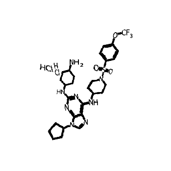 Cl.Cl.NC1CCC(Nc2nc(NC3CCN(S(=O)(=O)c4ccc(OC(F)(F)F)cc4)CC3)c3ncn(C4CCCC4)c3n2)CC1